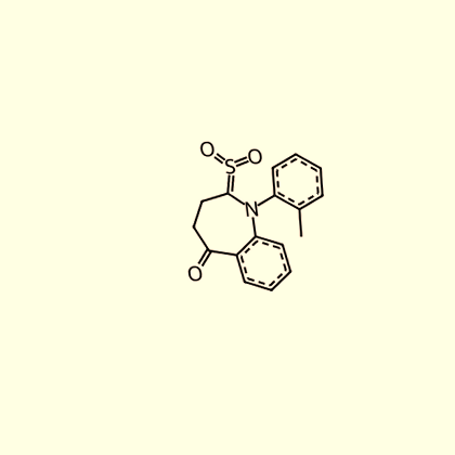 Cc1ccccc1N1C(=S(=O)=O)CCC(=O)c2ccccc21